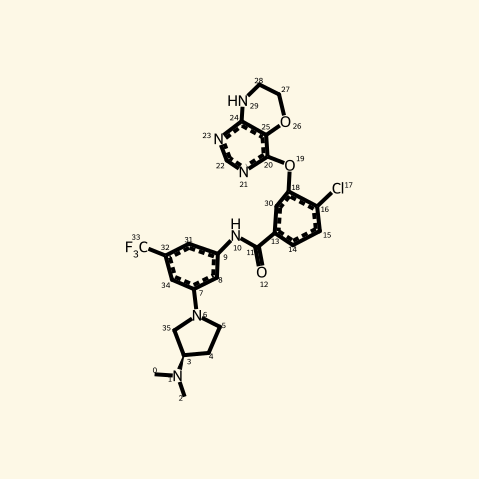 CN(C)[C@@H]1CCN(c2cc(NC(=O)c3ccc(Cl)c(Oc4ncnc5c4OCCN5)c3)cc(C(F)(F)F)c2)C1